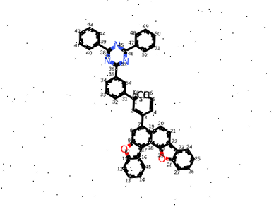 C=C(/C=C(\C=C/C)c1cc2oc3ccccc3c2c2c1ccc1c3ccccc3oc12)c1cccc(-c2nc(-c3ccccc3)nc(-c3ccccc3)n2)c1